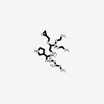 CC(N)C1CCNC1.CCO[SiH](OCC)C(CC)OCC1CO1.CO[SiH2]OC